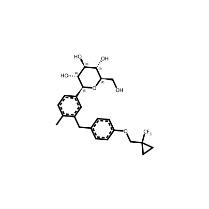 Cc1ccc([C@@H]2O[C@H](CO)[C@@H](O)[C@H](O)[C@H]2O)cc1Cc1ccc(OCC2(C(F)(F)F)CC2)cc1